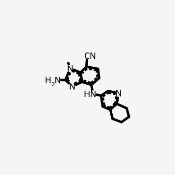 Cn1c(N)nc2c(Nc3cnc4c(c3)CCCC4)ccc(C#N)c21